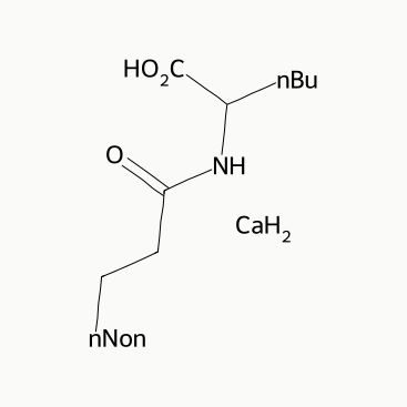 CCCCCCCCCCCC(=O)NC(CCCC)C(=O)O.[CaH2]